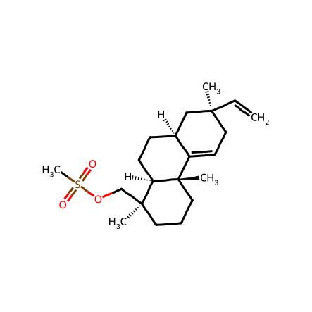 C=C[C@@]1(C)CC=C2[C@@H](CC[C@@H]3[C@](C)(COS(C)(=O)=O)CCC[C@@]23C)C1